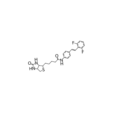 O=C(CCCCC1SCC2NC(=O)NC21)Nc1ccc(C=Cc2c(F)cccc2F)cc1